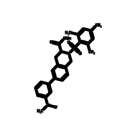 COC(=O)C1Cc2cc(-c3cccc([S+](C)[O-])c3)ccc2CN1S(=O)(=O)c1c(C)cc(C)cc1C